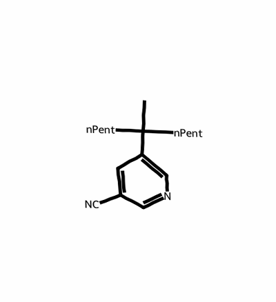 CCCCCC(C)(CCCCC)c1cncc(C#N)c1